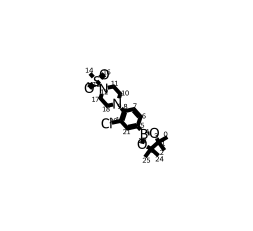 CC1(C)OB(c2ccc(N3CCN(S(C)(=O)=O)CC3)c(Cl)c2)OC1(C)C